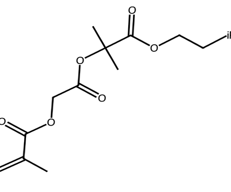 C=C(C)C(=O)OCC(=O)OC(C)(C)C(=O)OCCC(C)C